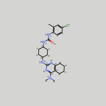 Cc1cc(Cl)ccc1NC(=O)NC1CCC(Nc2nc3c(c(N(C)C)n2)CCCC3)CC1